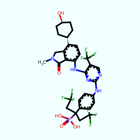 CN1Cc2c(c(Nc3nc(Nc4ccc(C(CC(F)(F)F)(CC(F)(F)F)P(=O)(O)O)cc4)ncc3C(F)(F)F)ccc2[C@H]2CC[C@H](O)CC2)C1=O